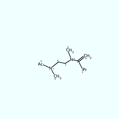 C=C(C(C)C)N(C)CCN(C)C(C)=O